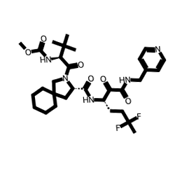 COC(=O)N[C@H](C(=O)N1CC2(CCCCC2)C[C@H]1C(=O)N[C@@H](CCC(C)(F)F)C(=O)C(=O)NCc1ccncc1)C(C)(C)C